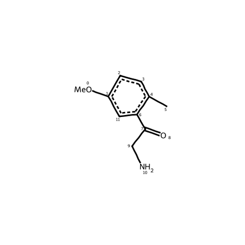 COc1ccc(C)c(C(=O)CN)c1